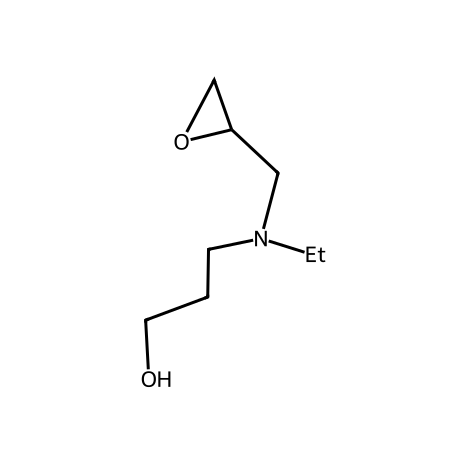 CCN(CCCO)CC1CO1